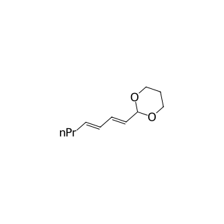 CCCC=CC=CC1OCCCO1